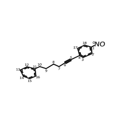 O=Nc1ccc(C#CCCCCc2ccccc2)cc1